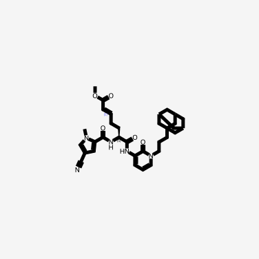 COC(=O)/C=C/CC[C@H](NC(=O)c1cc(C#N)cn1C)C(=O)Nc1cccn(CCCC23CC4CC(CC(C4)C2)C3)c1=O